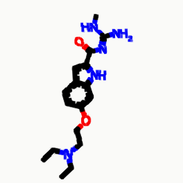 CCN(CC)CCOc1ccc2cc(C(=O)N=C(N)NC)[nH]c2c1